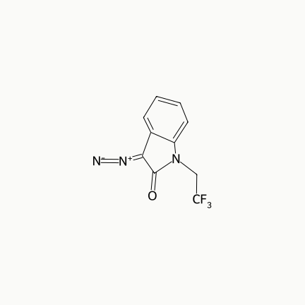 [N-]=[N+]=C1C(=O)N(CC(F)(F)F)c2ccccc21